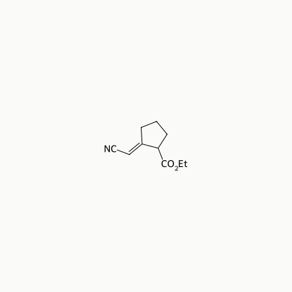 CCOC(=O)C1CCCC1=CC#N